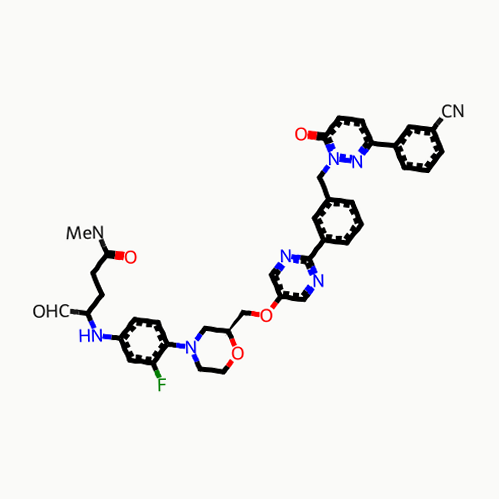 CNC(=O)CCC(C=O)Nc1ccc(N2CCO[C@H](COc3cnc(-c4cccc(Cn5nc(-c6cccc(C#N)c6)ccc5=O)c4)nc3)C2)c(F)c1